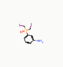 Nc1cccc(P(=O)(CI)CI)c1